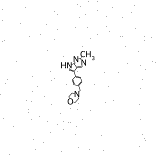 Cc1ncc2c(-c3ccc(CN4CCOCC4)cc3)c[nH]c2n1